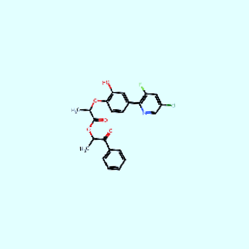 CC(Oc1ccc(-c2ncc(Cl)cc2F)cc1O)C(=O)OC(C)C(=O)c1ccccc1